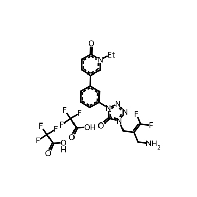 CCn1cc(-c2cccc(-n3nnn(CC(CN)=C(F)F)c3=O)c2)ccc1=O.O=C(O)C(F)(F)F.O=C(O)C(F)(F)F